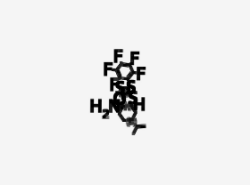 C=C(C)[C@@H]1CC[C@]2(N)O[P@](=S)(Sc3c(F)c(F)c(F)c(F)c3F)S[C@H]2C1